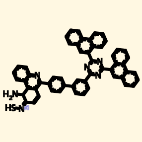 NC1/C(=N\S)C=Cc2c(-c3ccc(-c4cccc(-c5nc(-c6cc7ccccc7c7ccccc67)nc(-c6cc7ccccc7c7ccccc67)n5)c4)cc3)nc3ccccc3c21